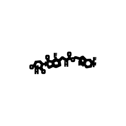 O=C1CCC(N2Cc3ccc(CNC(=O)OCc4cc5n(n4)CCC(F)(F)C5)c(F)c3C2=O)C(=O)N1